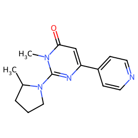 CC1CCCN1c1nc(-c2ccncc2)cc(=O)n1C